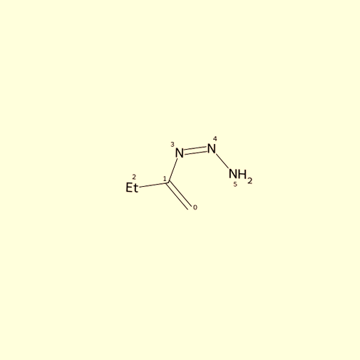 C=C(CC)/N=N\N